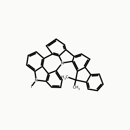 CC1(C)c2ccccc2-c2ccc3c4cccc5c6cccc7c6c6c(cccc6n(c3c21)c54)n7I